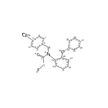 O=C(CF)N(Cc1ccc(Cl)cc1)c1ccccc1Oc1ccccc1